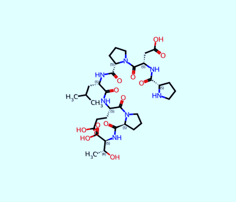 CC(C)C[C@H](NC(=O)[C@@H]1CCCN1C(=O)[C@H](CC(=O)O)NC(=O)[C@@H]1CCCN1)C(=O)N[C@@H](CCC(=O)O)C(=O)N1CCC[C@H]1C(=O)N[C@H](C(=O)O)[C@@H](C)O